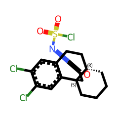 O=S(=O)(Cl)N=C1C[C@]23CCCC[C@]2(CCc2cc(Cl)c(Cl)cc23)O1